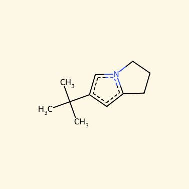 CC(C)(C)c1cc2n(c1)CCC2